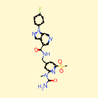 CN(C(N)=O)c1cc(CNC(=O)c2cncc3c2cnn3-c2ccc(F)cc2)cc(S(C)(=O)=O)n1